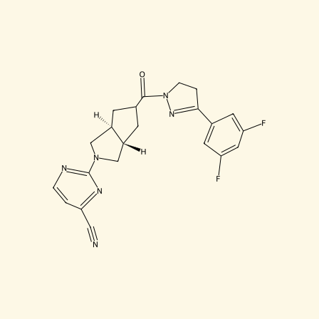 N#Cc1ccnc(N2C[C@H]3CC(C(=O)N4CCC(c5cc(F)cc(F)c5)=N4)C[C@@H]3C2)n1